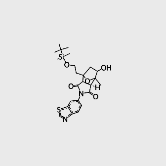 CC12OC(CCO[Si](C)(C)C(C)(C)C)(CC1O)C1C(=O)N(c3ccc4ncsc4c3)C(=O)[C@@H]12